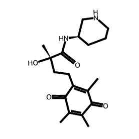 CC1=C(C)C(=O)C(CC[C@](C)(O)C(=O)N[C@@H]2CCCNC2)=C(C)C1=O